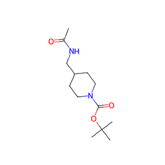 CC(=O)NCC1CCN(C(=O)OC(C)(C)C)CC1